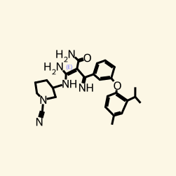 Cc1ccc(Oc2cccc(C(=N)/C(C(N)=O)=C(/N)NC3CCCN(C#N)C3)c2)c(C(C)C)c1